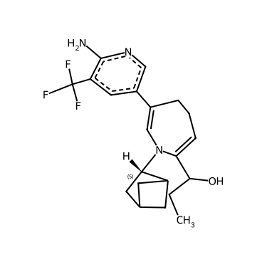 CCC(O)C1=CCCC(c2cnc(N)c(C(F)(F)F)c2)=CN1[C@H]1CC2CC1C2